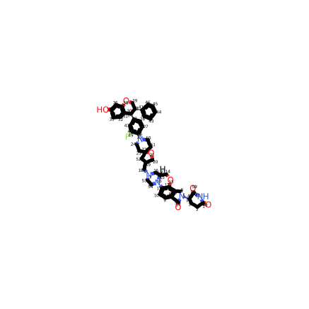 O=C1CC[C@@H](N2Cc3c(ccc4c3OC[C@@H]3CN(CC5COC6(CCN(c7ccc([C@@H]8c9ccc(O)cc9OC[C@@H]8c8ccccc8)cc7F)CC6)C5)CCN43)C2=O)C(=O)N1